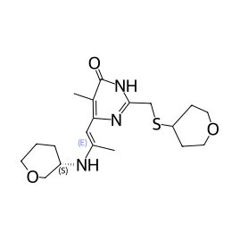 C/C(=C\c1nc(CSC2CCOCC2)[nH]c(=O)c1C)N[C@H]1CCCOC1